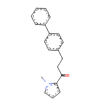 Cn1cccc1C(=O)CCc1ccc(-c2ccccc2)cc1